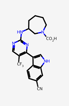 N#Cc1ccc2c(-c3nc(NC4CCCCN(C(=O)O)C4)ncc3C(F)(F)F)c[nH]c2c1